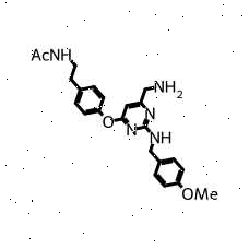 COc1ccc(CNc2nc(CN)cc(Oc3ccc(CCNC(C)=O)cc3)n2)cc1